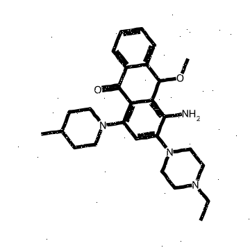 CCN1CCN(c2cc(N3CCC(C)CC3)c3c(c2N)C(OC)c2ccccc2C3=O)CC1